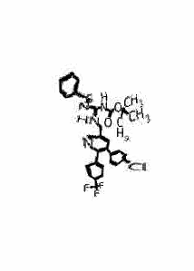 CC(C)(C)OC(=O)N/C(=N\Sc1ccccc1)NCc1cnc(-c2ccc(C(F)(F)F)cc2)c(-c2ccc(Cl)cc2)c1